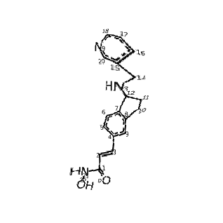 O=C(C=Cc1ccc2c(c1)CCC2NCc1cccnc1)NO